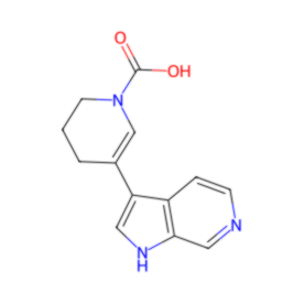 O=C(O)N1C=C(c2c[nH]c3cnccc23)CCC1